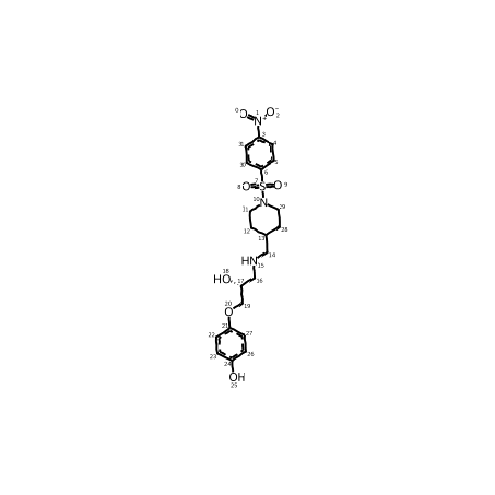 O=[N+]([O-])c1ccc(S(=O)(=O)N2CCC(CNC[C@@H](O)COc3ccc(O)cc3)CC2)cc1